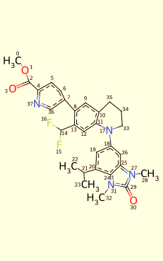 COC(=O)c1ccc(-c2cc3c(cc2C(F)F)N(c2cc(C(C)C)c4c(c2)n(C)c(=O)n4C)CCC3)cn1